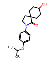 CC(Oc1ccc(N2CCC3(CCC(O)CC3)C2=O)cc1)C(F)(F)F